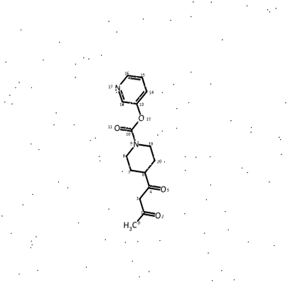 CC(=O)CC(=O)C1CCN(C(=O)Oc2cccnc2)CC1